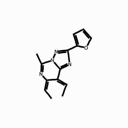 C/C=c1/nc(C)n2nc(-c3ccco3)nc2/c1=C/C